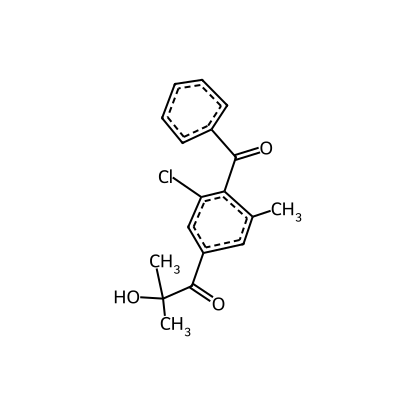 Cc1cc(C(=O)C(C)(C)O)cc(Cl)c1C(=O)c1ccccc1